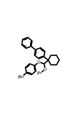 CCC(C)c1ccc(OC(OC(C)C)C2(c3ccc(-c4ccccc4)cc3)CCCCC2)cc1